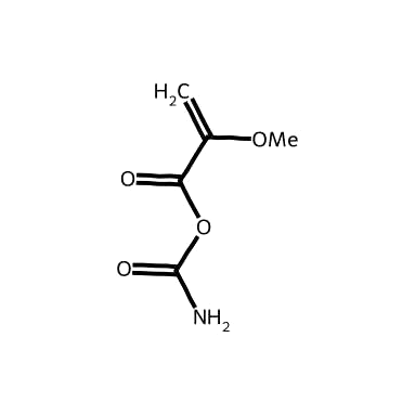 C=C(OC)C(=O)OC(N)=O